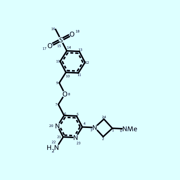 CNC1CN(c2cc(COCc3cccc(S(C)(=O)=O)c3)nc(N)n2)C1